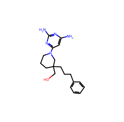 Nc1cc(N2CCCC(CO)(CCCc3ccccc3)C2)nc(N)n1